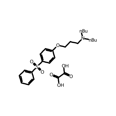 CCCCN(CCCC)CCCOc1ccc(S(=O)(=O)c2ccccc2)cc1.O=C(O)C(=O)O